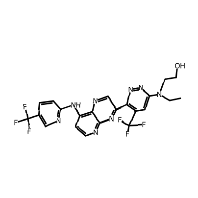 CCN(CCO)c1cc(C(F)(F)F)c(-c2cnc3c(Nc4ccc(C(F)(F)F)cn4)ccnc3n2)nn1